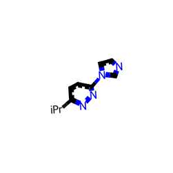 CC(C)c1ccc(-n2ccnc2)nn1